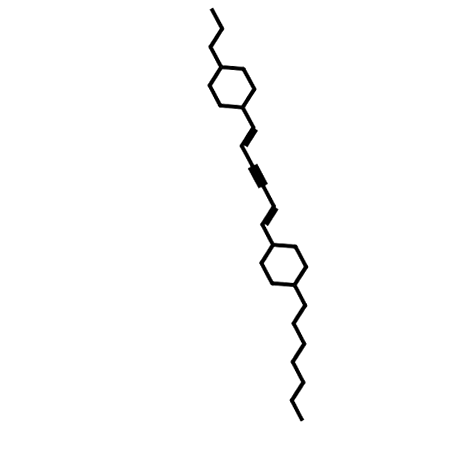 CCCCCCCC1CCC(C=CC#CC=CC2CCC(CCC)CC2)CC1